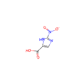 O=C(O)c1cnc([N+](=O)[O-])[nH]1